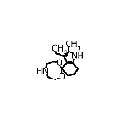 CCc1c(C)[nH]c2c1C1(CCC2)OCCNCCO1